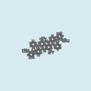 CC(C)c1cc(N(c2ccccc2)c2cccc3c2oc2c(C(C)(C)C)cccc23)c2ccc3c(C(C)C)cc(N(c4ccccc4)c4cccc5c4oc4c(C(C)(C)C)cccc45)c4ccc1c2c34